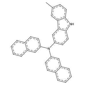 Cc1ccc2[nH]c3ccc(N(c4ccc5ccccc5c4)c4ccc5ccccc5c4)cc3c2c1